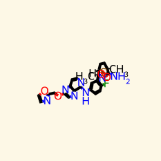 C[C@]1(c2cc(Nc3nccc4nc(OCc5ncco5)cnc34)ccc2F)N=C(N)[C@@]2(C)CC[C@@H]1S2(=O)=O